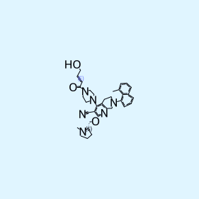 Cc1cccc2cccc(N3CCc4c(nc(OC[C@@H]5CCCN5C)c(C#N)c4N4CCN(C(=O)/C=C/CO)CC4)C3)c12